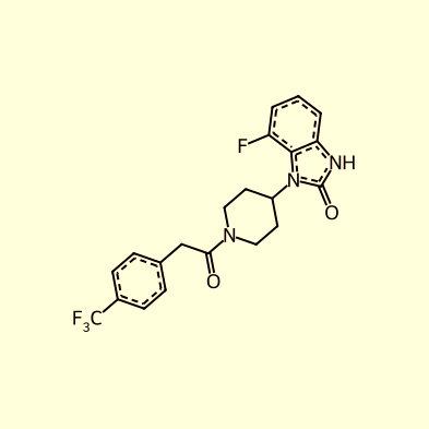 O=C(Cc1ccc(C(F)(F)F)cc1)N1CCC(n2c(=O)[nH]c3cccc(F)c32)CC1